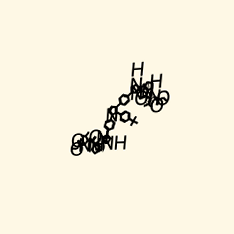 COC(=O)NC(C(=O)N1CCC[C@H]1c1nc(-c2ccc(-n3ccc(-c4ccc(-c5c[nH]c([C@@H]6CCCN6C(=O)[C@@H](NC(=O)OC)C(C)C)n5)cc4)c3-c3ccc(C(C)(C)C)cc3)cc2)c[nH]1)C(C)C